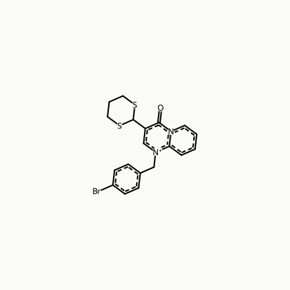 O=c1c(C2SCCCS2)c[n+](Cc2ccc(Br)cc2)c2ccccn12